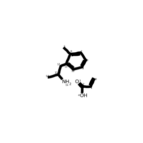 C=CC(=O)O.Cc1ccccc1CC(C)N